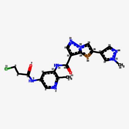 Cc1ncc(NC(=O)CCCl)cc1NC(=O)c1cnn2cc(-c3cnn(C)c3)sc12